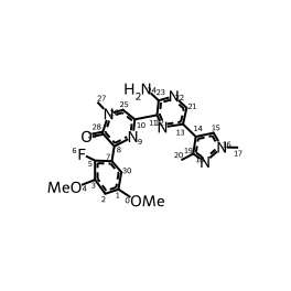 COc1cc(OC)c(F)c(-c2nc(-c3nc(-c4cn(C)nc4C)cnc3N)cn(C)c2=O)c1